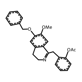 COc1cc2c(cc1OCc1ccccc1)CCN=C2Cc1ccccc1OC(C)=O